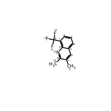 Cc1cc2cccc(C(F)(F)F)c2nc1C